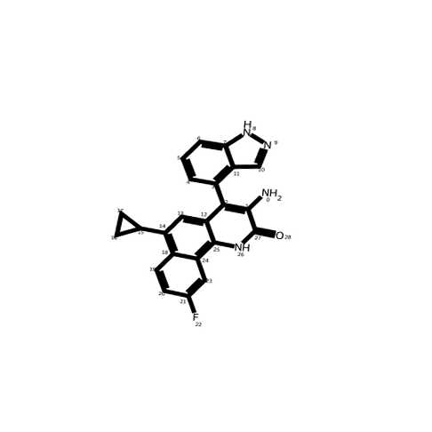 Nc1c(-c2cccc3[nH]ncc23)c2cc(C3CC3)c3ccc(F)cc3c2[nH]c1=O